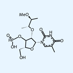 CO[C@@H](C)[C@@H](C)O[C@H]1C(O[PH](=O)O)[C@@H](CO)O[C@H]1n1cc(C)c(=O)[nH]c1=O